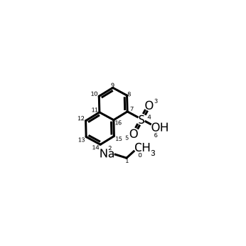 C[CH2][Na].O=S(=O)(O)c1cccc2ccccc12